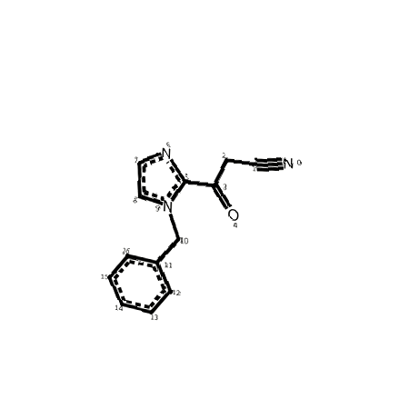 N#CCC(=O)c1nccn1Cc1ccccc1